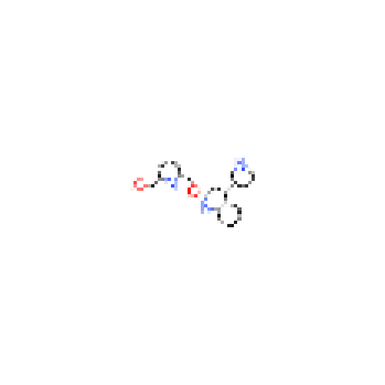 COCc1cccc(COc2cc(-c3cccnc3)c3c(n2)CCCC3)n1